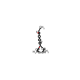 C=C(CO)C(=O)OCCCC(CCCOC(=O)C(=C)CO)c1ccc(C2CCC(C3CCC(c4ccc(CCCCC)c(F)c4)CC3)CC2)c(F)c1